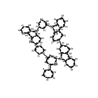 c1ccc(-c2cc(-c3ccccc3)nc(-n3c4ccccc4c4ccc(-c5ccc6c(c5)c5ccccc5n6-c5cncc(-n6c7cccnc7c7ncccc76)c5)cc43)n2)cc1